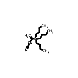 C=[C]([Cu][C]#N)[Sn]([CH2]CCC)([CH2]CCC)[CH2]CCC